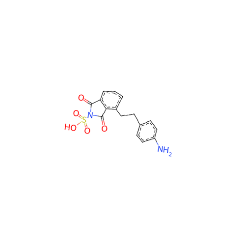 Nc1ccc(CCc2cccc3c2C(=O)N(S(=O)(=O)O)C3=O)cc1